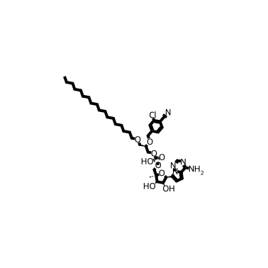 CCCCCCCCCCCCCCCCCCOC[C@H](COP(=O)(O)OC[C@@]1(C)O[C@@H](c2ccc3c(N)ncnn23)[C@H](O)[C@@H]1O)OCc1ccc(C#N)c(Cl)c1